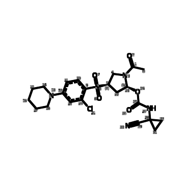 CC(=O)N1C[C@H](S(=O)(=O)c2ccc(N3CCCCC3)cc2Cl)C[C@@H]1OC(=O)NC1(C#N)CC1